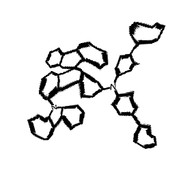 c1ccc(-c2ccc(N(c3ccc(-c4ccccc4)cc3)c3ccc4c(c3)C3(c5ccccc5-c5ccccc53)c3cccc(-n5c6ccccc6c6ccccc65)c3-4)cc2)cc1